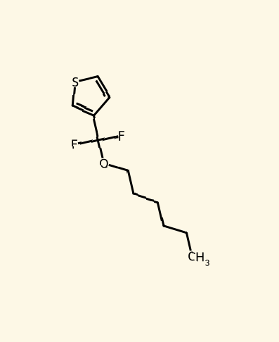 CCCCCCOC(F)(F)c1ccsc1